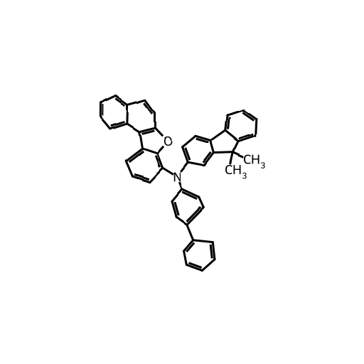 CC1(C)c2ccccc2-c2ccc(N(c3ccc(-c4ccccc4)cc3)c3cccc4c3oc3ccc5ccccc5c34)cc21